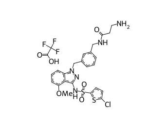 COc1cccc2c1c(NS(=O)(=O)c1ccc(Cl)s1)nn2Cc1cccc(CNC(=O)CCN)c1.O=C(O)C(F)(F)F